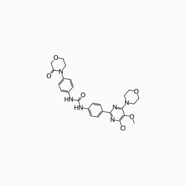 COc1c(Cl)nc(-c2ccc(NC(=O)Nc3ccc(N4CCOCC4=O)cc3)cc2)nc1N1CCOCC1